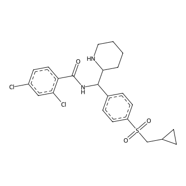 O=C(NC(c1ccc(S(=O)(=O)CC2CC2)cc1)C1CCCCN1)c1ccc(Cl)cc1Cl